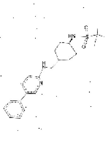 CC(C)(C)S(=O)(=O)N[C@H]1CC[C@H](CNc2cnc(-c3ccccc3)cn2)CC1